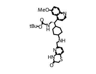 COc1ccc2nccc([C@@H](CNC(=O)OC(C)(C)C)C3CCC(NCc4ccc5c(n4)NC(=O)CS5)CC3)c2c1